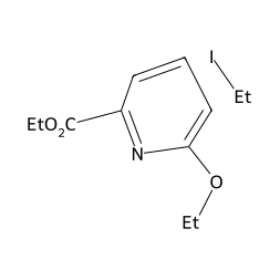 CCI.CCOC(=O)c1cccc(OCC)n1